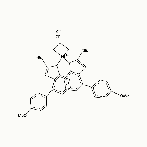 COc1ccc(-c2cccc3c2C=C(C(C)(C)C)[CH]3[Hf+2]2([CH]3C(C(C)(C)C)=Cc4c(-c5ccc(OC)cc5)cccc43)[CH2]C[CH2]2)cc1.[Cl-].[Cl-]